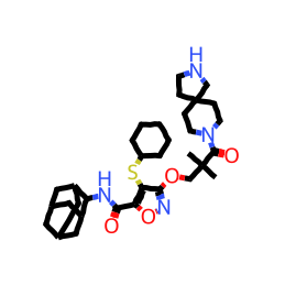 CC(C)(COc1noc(C(=O)NC2C3CC4CC(C3)CC2C4)c1SC1CCCCC1)C(=O)N1CCC2(CCNC2)CC1